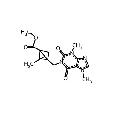 COC(=O)C12CC(Cn3c(=O)c4c(ncn4C)n(C)c3=O)(C1)C2C